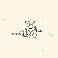 COc1ccc(S(=O)(=O)N2C(=O)C(N)(c3ccccc3OC)c3cc(Cl)c(C(F)(F)F)cc32)c(OC)c1